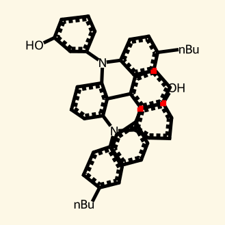 CCCCc1ccc(N(c2cccc(O)c2)c2cccc(N(c3ccc(CCCC)cc3)c3cccc(O)c3)c2-c2ccccc2-c2ccccc2)cc1